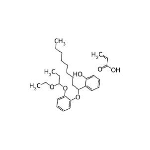 C=CC(=O)O.CCCCCCCCC(Oc1ccccc1OC(CC)OCC)c1ccccc1O